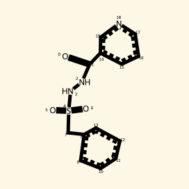 O=C(NNS(=O)(=O)Cc1ccccc1)c1cccnc1